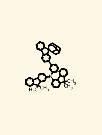 CC1(C)c2ccccc2-c2ccc(N(c3cccc(-c4ccc5c(c4)C4(c6ccccc6-5)C5CC6CC(C5)CC4C6)c3)c3cccc4c3-c3ccccc3C4(C)C)cc21